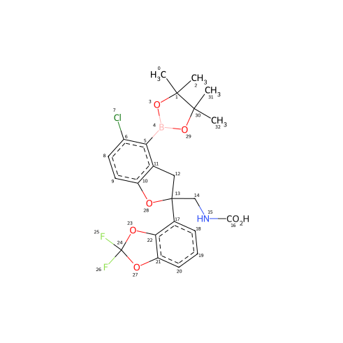 CC1(C)OB(c2c(Cl)ccc3c2CC(CNC(=O)O)(c2cccc4c2OC(F)(F)O4)O3)OC1(C)C